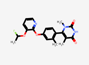 Cc1cc(Oc2ncccc2OC(C)F)ccc1-c1c(C)c(=O)[nH]c(=O)n1C